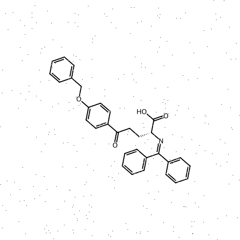 O=C(CC[C@@H](N=C(c1ccccc1)c1ccccc1)C(=O)O)c1ccc(OCc2ccccc2)cc1